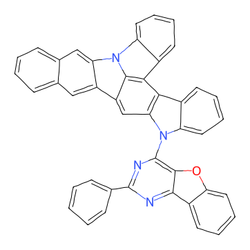 c1ccc(-c2nc(-n3c4ccccc4c4c5c6ccccc6n6c7cc8ccccc8cc7c(cc43)c56)c3oc4ccccc4c3n2)cc1